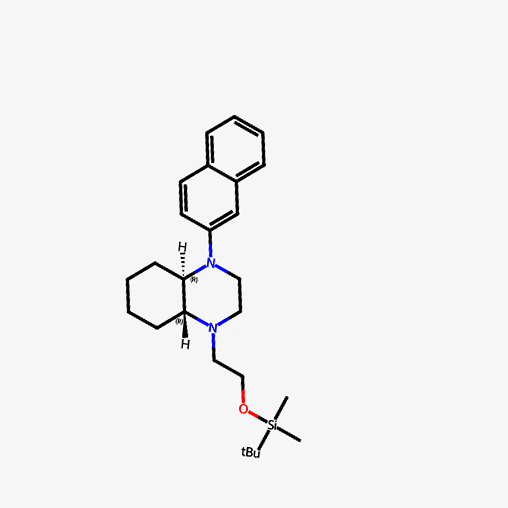 CC(C)(C)[Si](C)(C)OCCN1CCN(c2ccc3ccccc3c2)[C@@H]2CCCC[C@H]21